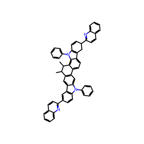 CC1c2cc3c4cc(-c5ccc6ccccc6n5)ccc4n(-c4ccccc4)c3cc2-c2ccc3c4c(n(-c5ccccc5)c3c2C1C)C=CC(c1ccc2ccccc2n1)C4